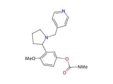 CNC(=O)Oc1ccc(OC)c(C2CCCN2Cc2ccncc2)c1